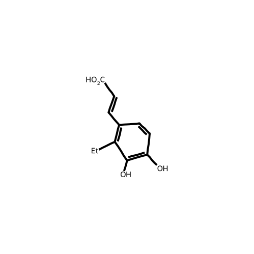 CCc1c(/C=C/C(=O)O)ccc(O)c1O